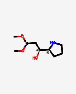 COB(C[C@@H](O)[C@@H]1CCCN1)OC